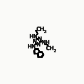 C=CCNc1nc(NCC=C)nc(Nc2ccc3ccccc3c2)n1